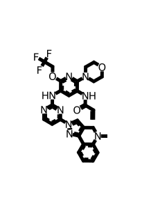 C=CC(=O)Nc1cc(Nc2nccc(-n3cc4c(n3)-c3ccccc3N(C)C4)n2)c(OCC(F)(F)F)nc1N1CCOCC1